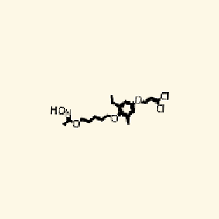 CCc1cc(OCC=C(Cl)Cl)cc(C)c1OCCCCCOC(C)=NO